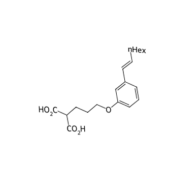 CCCCCCC=Cc1cccc(OCCCC(C(=O)O)C(=O)O)c1